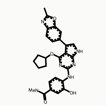 CNC(=O)c1ccc(Nc2nc(OC3CCCC3)c3c(-c4ccc5nc(C)oc5c4)c[nH]c3n2)c(O)c1